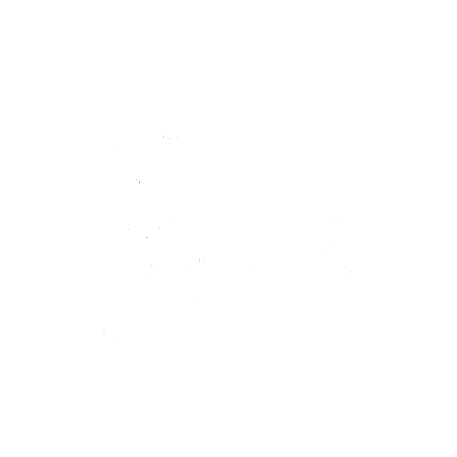 CCOC(C=O)N1CCC(N(CCC(=O)O)c2nc(-c3ccc(C(=N)N)cc3)cs2)CC1